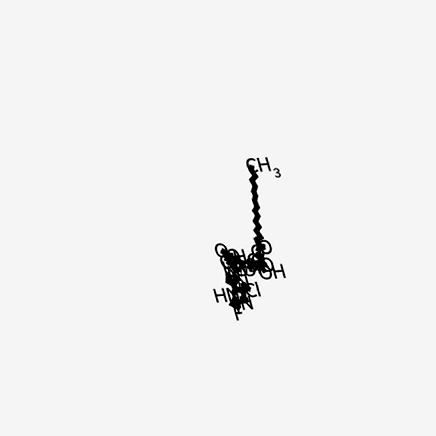 CCCCCCCCCCCCCCCCC(=O)OCOP(=O)(O)CS(=O)(=O)C[C@H]1O[C@@H](n2ccc3c(N[C@H]4C[C@@H](F)C4)c(C#N)c(Cl)nc32)[C@@H]2OC(=O)O[C@@H]21